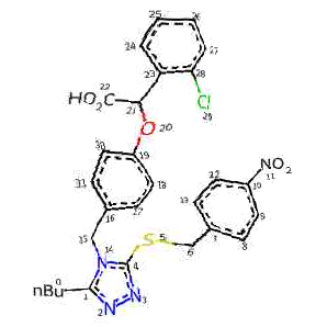 CCCCc1nnc(SCc2ccc([N+](=O)[O-])cc2)n1Cc1ccc(OC(C(=O)O)c2ccccc2Cl)cc1